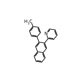 Cc1ccc(-c2cc3ccccc3cc2-c2ccccn2)cc1